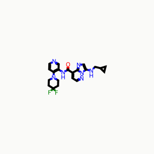 O=C(Nc1cnccc1N1CCC(F)(F)CC1)c1ccnn2c(NCC3CC3)cnc12